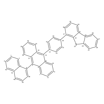 c1ccc2c(-c3c4ccccc4c(-c4ccc(-c5cccc6c5sc5ccccc56)cc4)c4ccccc34)cccc2c1